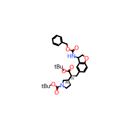 CC(C)(C)OC(=O)[C@@H](Cc1ccc2c(c1)C(NC(=O)OCc1ccccc1)CO2)[C@H]1CCN(C(=O)OC(C)(C)C)C1